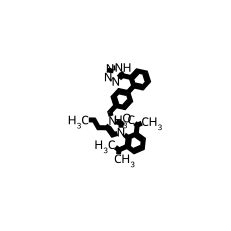 CCCc1cn(-c2c(C(C)C)cccc2C(C)C)c(=O)n1Cc1ccc(-c2ccccc2-c2nnn[nH]2)cc1